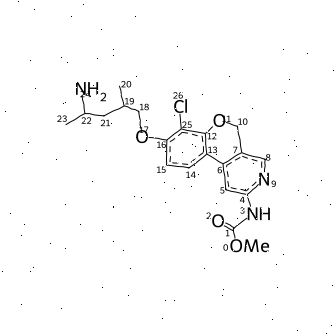 COC(=O)Nc1cc2c(cn1)COc1c-2ccc(OCC(C)CC(C)N)c1Cl